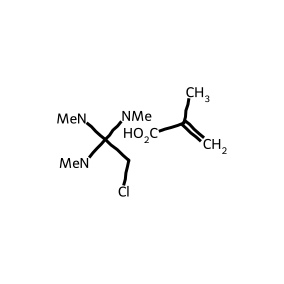 C=C(C)C(=O)O.CNC(CCl)(NC)NC